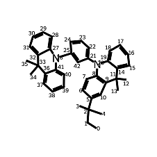 CCC(C)(C)c1ccc2c(c1)C(C)(C)c1ccccc1N2c1cccc(N2c3ccccc3C(C)(C)c3ccccc32)c1